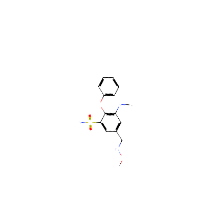 CCCCNc1cc(CNOC=O)cc(S(N)(=O)=O)c1Oc1ccccc1.O